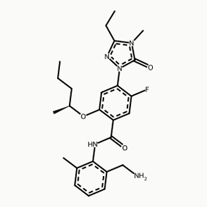 CCC[C@H](C)Oc1cc(-n2nc(CC)n(C)c2=O)c(F)cc1C(=O)Nc1c(C)cccc1CN